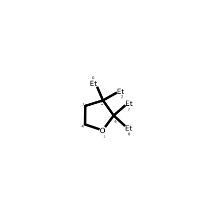 CCC1(CC)CCOC1(CC)CC